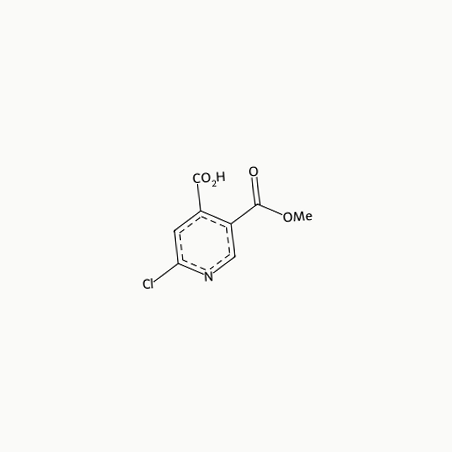 COC(=O)c1cnc(Cl)cc1C(=O)O